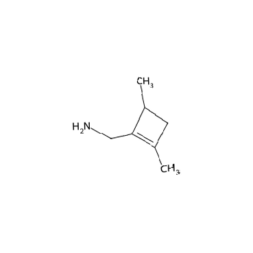 CC1=C(CN)C(C)C1